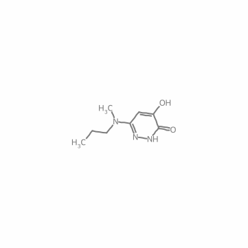 CCCN(C)c1cc(O)c(=O)[nH]n1